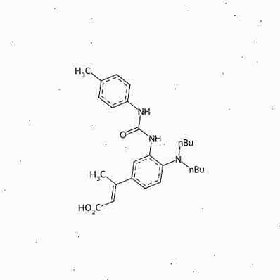 CCCCN(CCCC)c1ccc(C(C)=CC(=O)O)cc1NC(=O)Nc1ccc(C)cc1